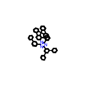 c1ccc(-c2cccc(-c3nc(-c4cc(-c5ccccc5)cc(-c5ccccc5)c4)nc(-c4ccccc4-c4cccc5c4C4(c6ccccc6-c6ccccc64)c4ccccc4-5)n3)c2)cc1